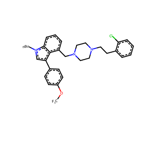 CCCCn1cc(-c2ccc(OC(F)(F)F)cc2)c2c(CN3CCN(CCc4ccccc4Cl)CC3)cccc21